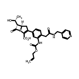 C=CCOC(=O)Nc1cc(C2=C(C(=O)O)N3C(=O)[C@H]([C@@H](C)O)[C@H]3C2)ccc1CC(=O)NCc1ccncc1